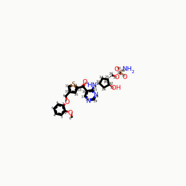 COc1ccccc1OCc1csc(C(=O)c2cncnc2N[C@@H]2C[C@H](COS(N)(=O)=O)[C@@H](O)C2)c1